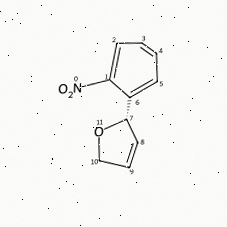 O=[N+]([O-])c1ccccc1[C@@H]1C=CCO1